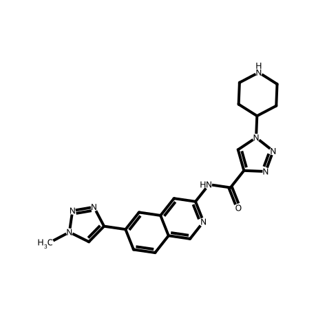 Cn1cc(-c2ccc3cnc(NC(=O)c4cn(C5CCNCC5)nn4)cc3c2)nn1